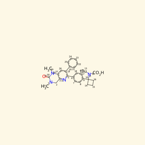 CN1Cc2nc(-c3ccc(C4(N(C(=O)O)C(C)(C)C)CCC4)cc3)c(-c3ccccc3)cc2N(C)C1=O